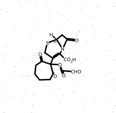 O=CC(=O)OC1(C2=C(C(=O)O)N3C(=O)C[C@H]3SC2)C(=O)CCCCC1=O